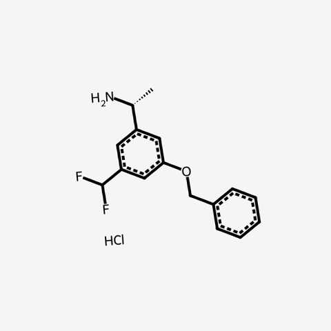 C[C@@H](N)c1cc(OCc2ccccc2)cc(C(F)F)c1.Cl